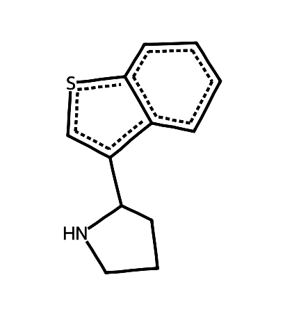 c1ccc2c(C3CCCN3)csc2c1